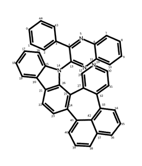 c1ccc(-c2nc3ccccc3nc2-n2c3ccccc3c3ccc4c(c32)-c2cnccc2-c2cccc3cccc-4c23)cc1